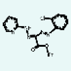 CC(C)OC(=O)C(=N/Nc1ccccn1)/N=N/c1ccccc1Cl